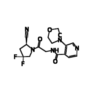 N#C[C@@H]1CC(F)(F)CN1C(=O)CNC(=O)c1ccncc1N1CCOCC1